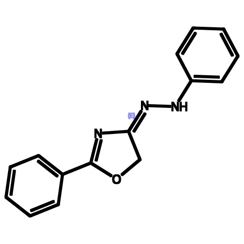 c1ccc(N/N=C2\COC(c3ccccc3)=N2)cc1